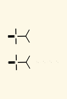 O=P([O-])([O-])C(F)F.O=P([O-])([O-])C(F)F.[Na+].[Na+].[Na+].[Na+]